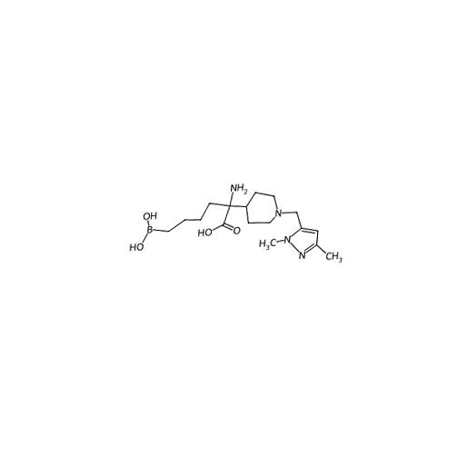 Cc1cc(CN2CCC(C(N)(CCCCB(O)O)C(=O)O)CC2)n(C)n1